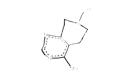 CCCN1CCc2c(N)ncnc2C1